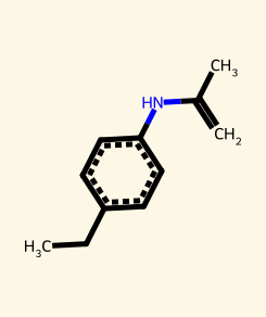 C=C(C)Nc1ccc(CC)cc1